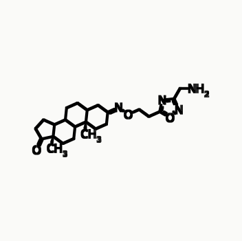 C[C@]12CC/C(=N\OCCc3nc(CN)no3)CC1CCC1C2CC[C@]2(C)C(=O)CCC12